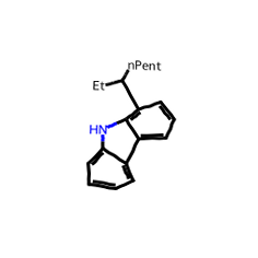 CCCCCC(CC)c1cccc2c1[nH]c1ccccc12